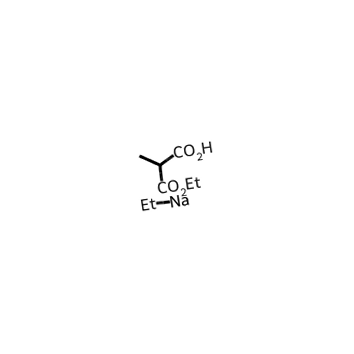 CCOC(=O)C(C)C(=O)O.C[CH2][Na]